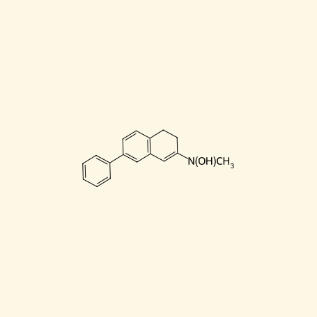 CN(O)C1=Cc2cc(-c3ccccc3)ccc2CC1